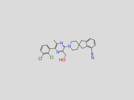 Cc1nc(N2CCC3(CC2)Cc2cccc(C#N)c2C3)c(CO)nc1-c1cccc(Cl)c1Cl